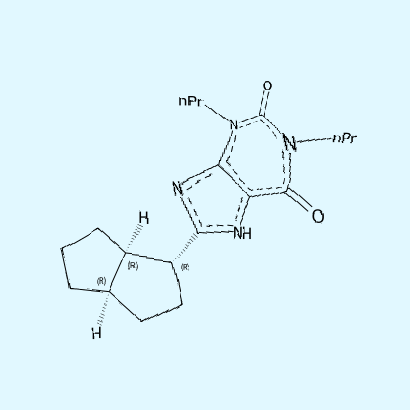 CCCn1c(=O)c2[nH]c([C@@H]3CC[C@H]4CCC[C@H]43)nc2n(CCC)c1=O